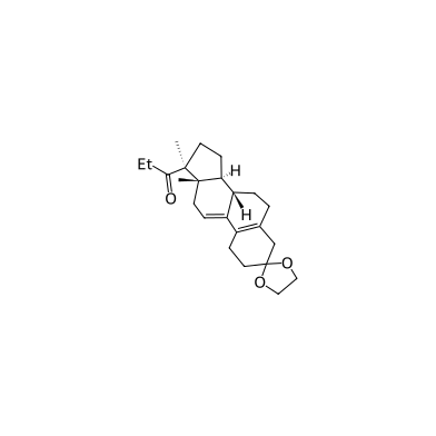 CCC(=O)[C@@]1(C)CC[C@H]2[C@@H]3CCC4=C(CCC5(C4)OCCO5)C3=CC[C@@]21C